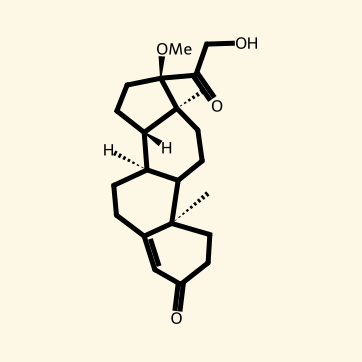 CO[C@]1(C(=O)CO)CC[C@H]2[C@@H]3CCC4=CC(=O)CC[C@]4(C)C3CC[C@@]21C